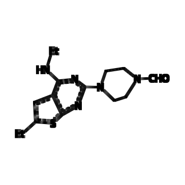 CCNc1nc(N2CCN(C=O)CC2)nc2sc(CC)cc12